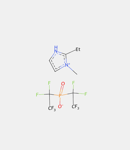 CCc1[nH]cc[n+]1C.O=P([O-])(C(F)(F)C(F)(F)F)C(F)(F)C(F)(F)F